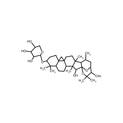 CC(=O)OC1C2CC(C)C3C(O2)(OC1(C)C)C(O)C1(C)C2CCC4C(C)(C)C(OC5OCC(O)C(O)C5O)CCC45CC25CCC31C